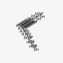 CCCCN.CCCCN.CCCCN.CCCCN.CCCCN.CCCCN.CCCCN.CCCCN.CCCCN.CCCCN.CCCCN.CCCCN.OP(O)F.OP(O)F.OP(O)F.OP(O)F.OP(O)F.OP(O)F